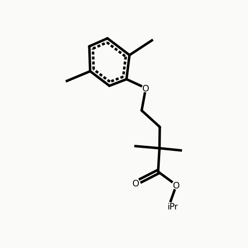 Cc1ccc(C)c(OCCC(C)(C)C(=O)OC(C)C)c1